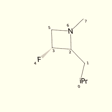 CC(C)CC1[C@H](F)CN1C